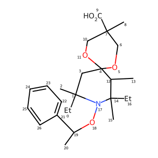 CCC1(C)CC2(OCC(C)(C(=O)O)CO2)C(C)C(C)(CC)N1OC(C)c1ccccc1